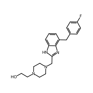 OCCN1CCN(Cc2nc3c(Cc4ccc(F)cc4)cccc3[nH]2)CC1